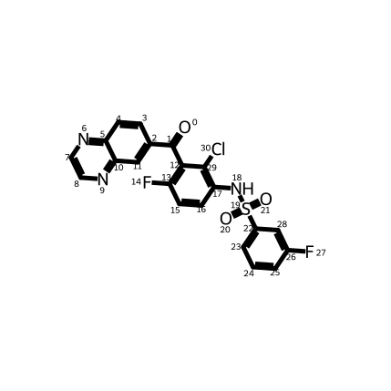 O=C(c1ccc2nccnc2c1)c1c(F)ccc(NS(=O)(=O)c2cccc(F)c2)c1Cl